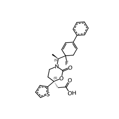 C[C@H](N1CC[C@](CC(=O)O)(c2cccs2)OC1=O)C1(F)C=CC(c2ccccc2)=CC1